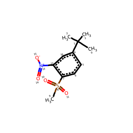 CC(C)(C)c1ccc(S(C)(=O)=O)c([N+](=O)[O-])c1